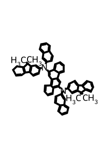 CC1(C)C2=C(C=CCC2)c2ccc(N(c3ccc4ccccc4c3)c3cc4c5ccccc5c(N(c5ccc6c(c5)C(C)(C)c5ccccc5-6)c5ccc6ccccc6c5)cc4c4ccccc34)cc21